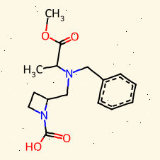 COC(=O)C(C)N(Cc1ccccc1)CC1CCN1C(=O)O